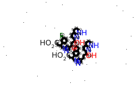 O=C(O)CC(Cn1cc(C=CC(O)c2ccc3c(n2)NCCC3)cn1)c1ccc2c(c1)OCC2.O=C(O)CC(Cn1cc(C=CC(O)c2ccc3c(n2)NCCC3)cn1)c1cccc(F)c1